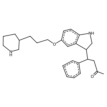 CC(=O)CC(c1ccccc1)C1CNc2ccc(OCCCC3CCCNC3)cc21